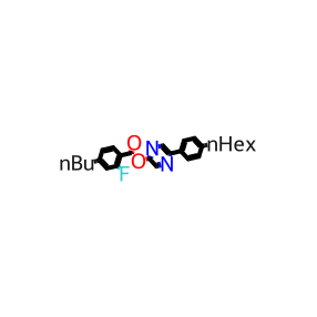 CCCCCCc1ccc(-c2cnc(OC(=O)c3ccc(CCCC)cc3F)cn2)cc1